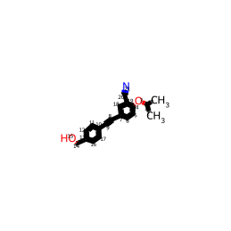 CC(C)Oc1ccc(C#Cc2ccc(CO)cc2)cc1C#N